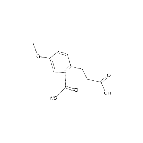 COc1ccc(CCC(=O)O)c(C(=O)O)c1